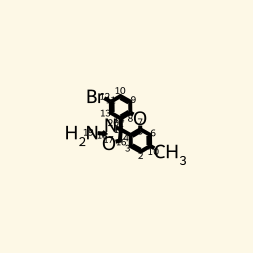 Cc1ccc2c(c1)Oc1ccc(Br)cc1C21COC(N)=N1